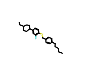 CCCCCc1ccc(CSc2ccc(C3CCC(CC)CC3)cc2F)cc1